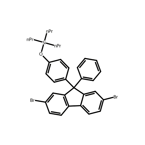 CCC[Si](CCC)(CCC)Oc1ccc(C2(c3ccccc3)c3cc(Br)ccc3-c3ccc(Br)cc32)cc1